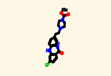 CC(C)(C)OC(=O)N1CCN(CCc2ccc3c(c2)NC(=O)c2ccc(Cl)cc2N3)CC1